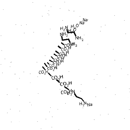 CC(=O)O.CC(=O)O.CC(=O)O.CC(=O)O.CC(=O)O.CC(=O)O.CC(=O)O.CC(=O)O.CC(=O)O.CC(=O)O.CC(=O)O.CC(=O)O.NCCN.NCCN.NCCN.O.O.[Na].[Na].[Na]